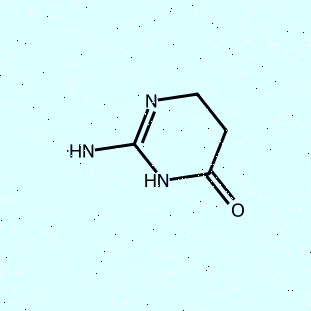 [NH]C1=NCCC(=O)N1